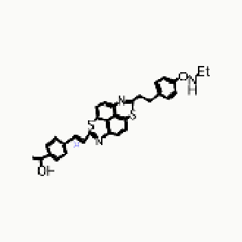 CCNOc1ccc(CCC2=Nc3ccc4c5c(ccc(c35)S2)N=C(/C=C/c2ccc(C(C)O)cc2)S4)cc1